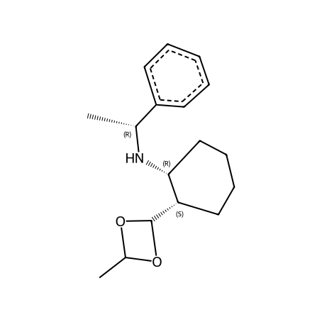 CC1OC([C@H]2CCCC[C@H]2N[C@H](C)c2ccccc2)O1